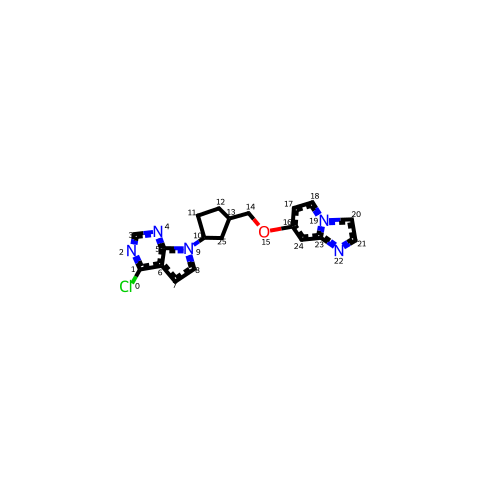 Clc1ncnc2c1ccn2C1CCC(COc2ccn3ccnc3c2)C1